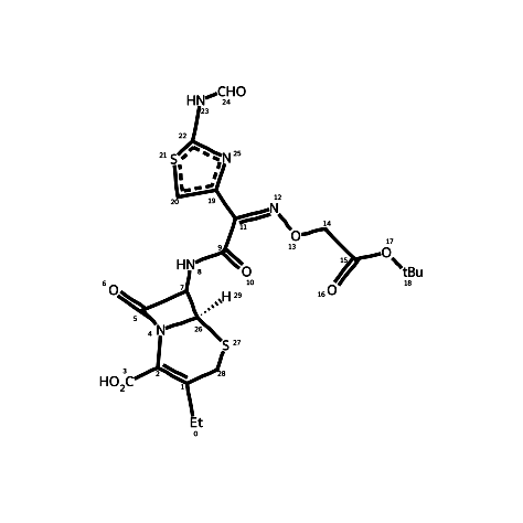 CCC1=C(C(=O)O)N2C(=O)C(NC(=O)/C(=N\OCC(=O)OC(C)(C)C)c3csc(NC=O)n3)[C@H]2SC1